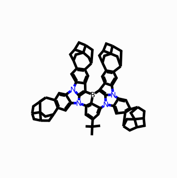 CC(C)(C)c1cc2c3c(c1)-n1c4cc5c(cc4n4c6cc7c(cc6c(c14)B3c1c3cc4c(cc3n3c6cc8c(cc6n-2c13)C1CC2CC3CC8CC23C1)C1CC2CC3CC4CC32C1)C1CC2CC3CC7CC23C1)C1CC2CC3CC5CC32C1